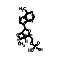 Cc1ncnc2c1ncn2C1O[C@@]2(COP(=O)(O)S)[C@H]3C1O[C@@]32C